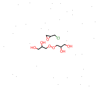 ClCC1CO1.OCC(O)COOCC(O)CO